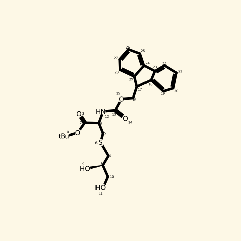 CC(C)(C)OC(=O)C(CSC[C@H](O)CO)NC(=O)OCC1c2ccccc2-c2ccccc21